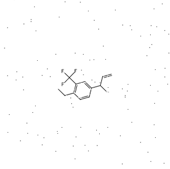 [CH2]C(C=C)c1ccc(CC)c(C(F)(F)F)c1